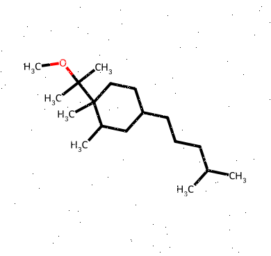 COC(C)(C)C1(C)CCC(CCCC(C)C)CC1C